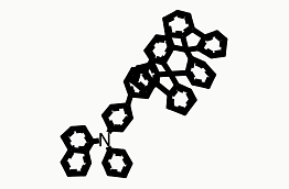 c1ccc(N(c2ccc(-c3ccc(-c4cccc5c4C4(c6ccccc6-c6ccccc64)c4ccccc4C54c5ccccc5-c5ccccc54)cc3)cc2)c2cccc3ccccc23)cc1